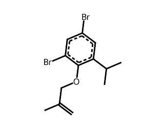 C=C(C)COc1c(Br)cc(Br)cc1C(C)C